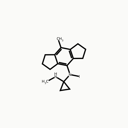 CNC1(N(I)c2c3c(c(C)c4c2CCC4)CCC3)CC1